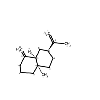 C=C(C)[C@H]1CC[C@@]2(C)CCCC(=C)[C@H]2C1